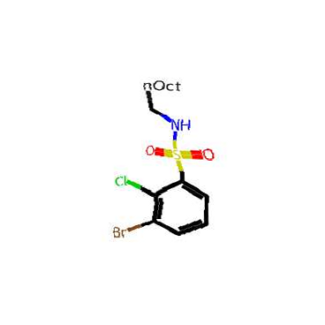 CCCCCCCCCNS(=O)(=O)c1cccc(Br)c1Cl